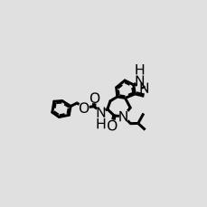 CC(C)CN1Cc2c(ccc3[nH]ncc23)CC(NC(=O)OCc2ccccc2)C1=O